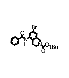 CC(C)(C)OC(=O)N1CCc2c(cc(Br)cc2NC(=O)c2ccccc2)C1